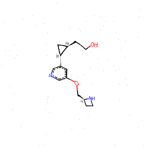 OCC[C@@H]1C[C@H]1c1cncc(OC[C@@H]2CCN2)c1